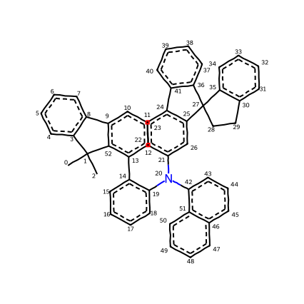 CC1(C)c2ccccc2-c2cccc(-c3ccccc3N(c3ccc4c(c3)C3(CCc5ccccc53)c3ccccc3-4)c3cccc4ccccc34)c21